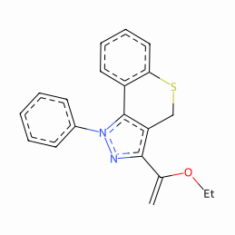 C=C(OCC)c1nn(-c2ccccc2)c2c1CSc1ccccc1-2